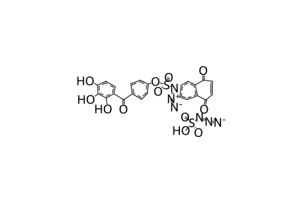 O=C1C=CC(=O)c2ccccc21.[N-]=[N+]=NS(=O)(=O)O.[N-]=[N+]=NS(=O)(=O)Oc1ccc(C(=O)c2ccc(O)c(O)c2O)cc1